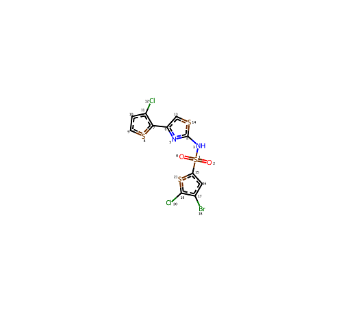 O=S(=O)(Nc1nc(-c2sccc2Cl)cs1)c1cc(Br)c(Cl)s1